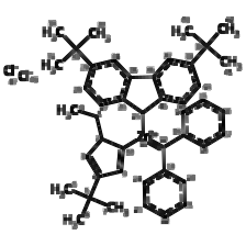 CCC1C=C(C(C)(C)C)C=[C]1[Zr+2](=[C](c1ccccc1)c1ccccc1)[CH]1c2ccc(C(C)(C)C)cc2-c2cc(C(C)(C)C)ccc21.[Cl-].[Cl-]